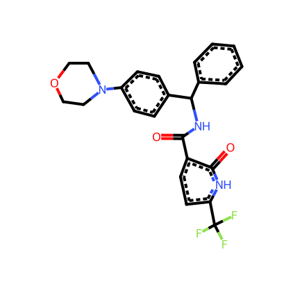 O=C(NC(c1ccccc1)c1ccc(N2CCOCC2)cc1)c1ccc(C(F)(F)F)[nH]c1=O